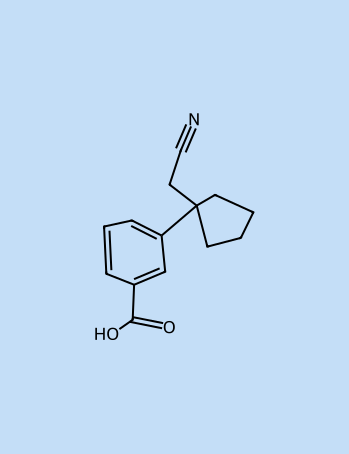 N#CCC1(c2cccc(C(=O)O)c2)CCCC1